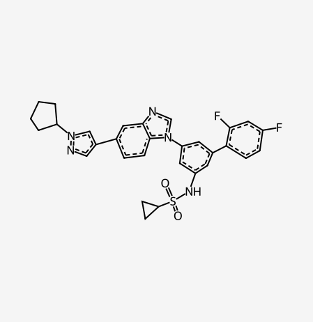 O=S(=O)(Nc1cc(-c2ccc(F)cc2F)cc(-n2cnc3cc(-c4cnn(C5CCCC5)c4)ccc32)c1)C1CC1